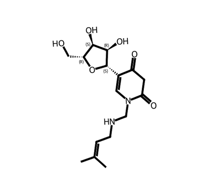 CC(C)=CCNCN1C=C([C@@H]2O[C@H](CO)[C@@H](O)[C@H]2O)C(=O)CC1=O